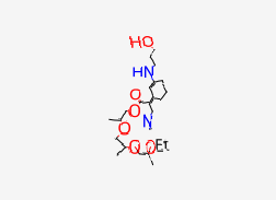 C=NC/C(C(=O)OCC(C)OCC(C)OCC(C)OCC)=C1/C=C(NCCCO)CCC1